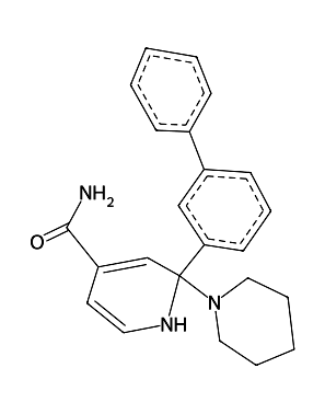 NC(=O)C1=CC(c2cccc(-c3ccccc3)c2)(N2CCCCC2)NC=C1